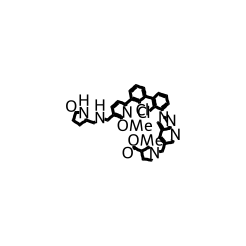 COC(=O)C1CCN(Cc2cnc3nn(-c4cccc(-c5cccc(-c6ccc(CNCC7CCC(=O)N7)c(OC)n6)c5Cl)c4Cl)cc3c2)C1